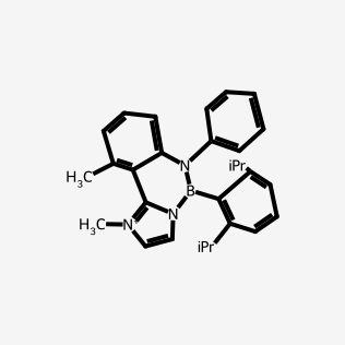 Cc1cccc2c1-c1n(cc[n+]1C)B(c1c(C(C)C)cccc1C(C)C)N2c1ccccc1